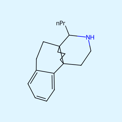 CCCC1NCCC23CCCC12CCc1ccccc13